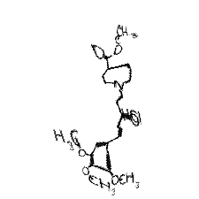 CCOC(=O)C1CCN(CCC(=O)C=Cc2cc(OC)c(OC)c(OC)c2)CC1.Cl